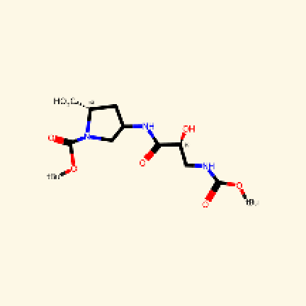 CC(C)(C)OC(=O)NC[C@H](O)C(=O)NC1C[C@@H](C(=O)O)N(C(=O)OC(C)(C)C)C1